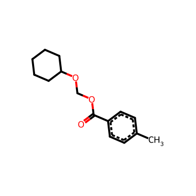 Cc1ccc(C(=O)OCOC2CCCCC2)cc1